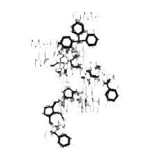 COc1ccc(C(OC[C@H]2O[C@@H](n3cnc4c(NC(=O)c5ccccc5)ncnc43)[C@H](OP(=S)(OCCC#N)OC[C@H]3C[C@@H](N4C=C5CCC6=C5C(=N4)C=NN(C(=O)c4ccccc4)C6)[C@H](O[Si](C)(C)C(C)(C)C)[C@@H]3O)[C@@H]2O[Si](C)(C)C(C)(C)C)(c2ccccc2)c2ccc(OC)cc2)cc1